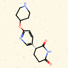 O=C1CC[C@H](c2ccc(OC3CCNCC3)nc2)C(=O)N1